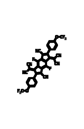 N#CC(C#N)=C1C(c2ccc(OC(F)(F)F)cc2)=C(C#N)c2c(F)c3c(c(F)c21)C(C#N)=C(c1ccc(OC(F)(F)F)cc1)C3=C(C#N)C#N